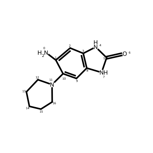 Nc1cc2[nH]c(=O)[nH]c2cc1N1CCCCC1